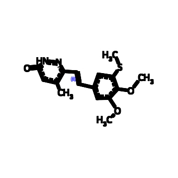 COc1cc(/C=C/c2n[nH]c(=O)cc2C)cc(SC)c1OC